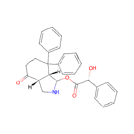 O=C1CCC(c2ccccc2)(c2ccccc2)[C@@H]2C(OC(=O)[C@H](O)c3ccccc3)NC[C@H]12